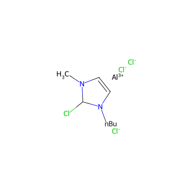 CCCCN1C=CN(C)C1Cl.[Al+3].[Cl-].[Cl-].[Cl-]